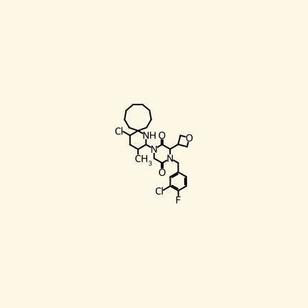 CC1CC(Cl)C2(CCCCCCCC2)NC1N1CC(=O)N(Cc2ccc(F)c(Cl)c2)C(C2COC2)C1=O